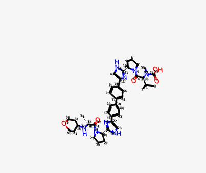 CC(C)[C@@H](C(=O)N1CCC[C@H]1c1nc(-c2ccc(-c3ccc(-c4c[nH]c([C@@H]5CCCN5C(=O)[C@@H](C)NC5CCOCC5)n4)cc3)cc2)c[nH]1)N(C)C(=O)O